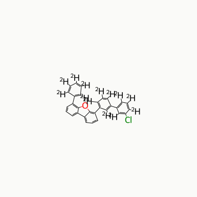 [2H]c1c([2H])c([2H])c(-c2cccc3c2oc2c(-c4c([2H])c([2H])c([2H])c(-c5c([2H])c([2H])c([2H])c(Cl)c5[2H])c4[2H])cccc23)c([2H])c1[2H]